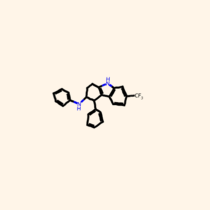 FC(F)(F)c1ccc2c3c([nH]c2c1)CCC(Nc1ccccc1)C3c1ccccc1